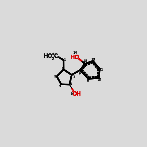 O=C(O)CC1CC[C@@H](O)C1c1ccccc1O